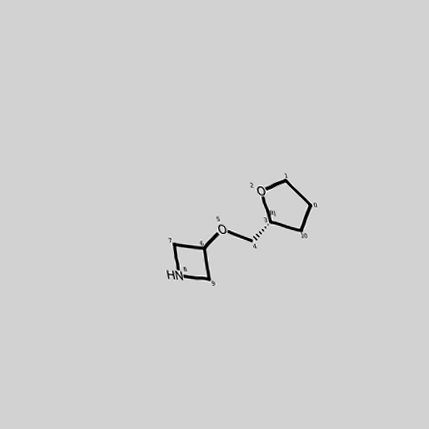 C1CO[C@@H](COC2CNC2)C1